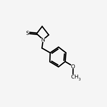 COc1ccc(CN2CCC2=S)cc1